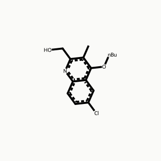 CCCCOc1c(C)c(CO)nc2ccc(Cl)cc12